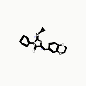 O=C1/C(=C/c2ccc3c(c2)OCCO3)S/C(=N\C2CC2)N1c1ccccc1